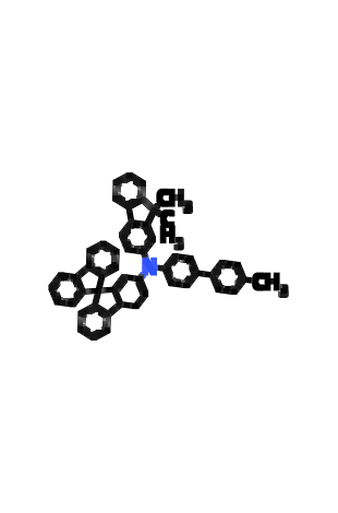 Cc1ccc(-c2ccc(N(C3=CCC4C(=C3)C3(c5ccccc5-c5ccccc53)c3ccccc34)c3ccc4c(c3)C(C)(C)c3ccccc3-4)cc2)cc1